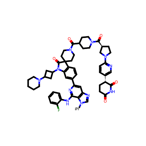 CC(C)n1cnc2cc(-c3ccc4c(c3)N(C3CC(N5CCCCC5)C3)C(=O)C43CCN(C(=O)C4CCN(C(=O)[C@H]5CCN(c6ccc([C@H]7CCC(=O)NC7=O)cn6)C5)CC4)CC3)nc(Nc3ccccc3F)c21